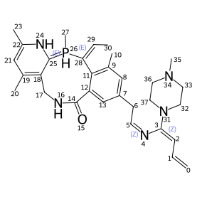 C=C/C=C(\N=C/Cc1cc(C)c2c(c1)C(=O)NCC1=C(C)C=C(C)N/C1=[PH](C)/C2=C/C)N1CCN(C)CC1